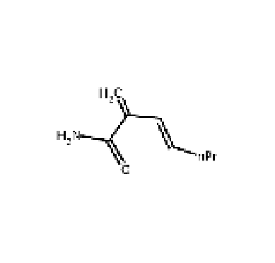 C=C(C=CCCC)C(N)=O